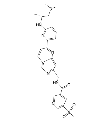 C[C@H](CN(C)C)Nc1cccc(-c2ccc3cnc(CNC(=O)c4cncc(S(C)(=O)=O)c4)cc3n2)n1